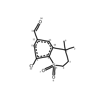 CC1(C)CCS(=O)(=O)c2c(Cl)cc(C=O)cc21